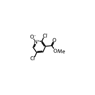 COC(=O)c1cc(Cl)c[n+]([O-])c1Cl